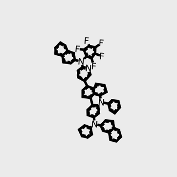 Fc1c(F)c(F)c(N(c2ccc3ccccc3c2)c2ccc(-c3ccc4c5c(cccc35)N(c3ccccc3)c3cc(N(c5ccccc5)c5ccc6ccccc6c5)ccc3-4)cn2)c(F)c1F